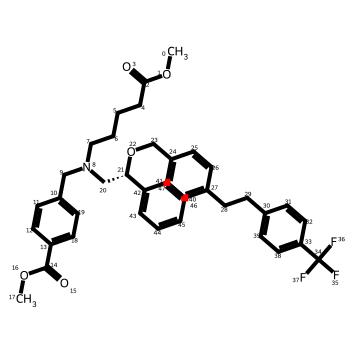 COC(=O)CCCCN(Cc1ccc(C(=O)OC)cc1)C[C@H](OCc1ccc(CCc2ccc(C(F)(F)F)cc2)cc1)c1ccccc1